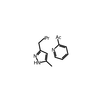 CC(=O)c1ccccn1.Cc1cc(CC(C)C)n[nH]1